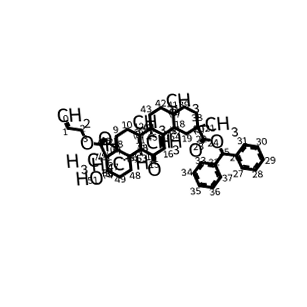 C=CCOC(=O)[C@@]1(C)[C@@H]2CC[C@]3(C)[C@H](C(=O)C=C4[C@@H]5C[C@@](C)(C(=O)OC(c6ccccc6)c6ccccc6)CC[C@]5(C)CC[C@]43C)[C@@]2(C)CC[C@@H]1O